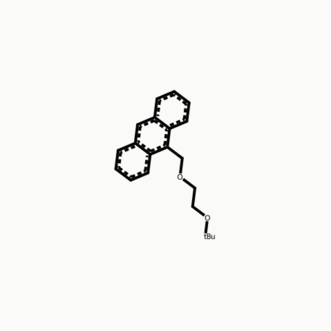 CC(C)(C)OCCOCc1c2ccccc2cc2ccccc12